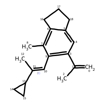 C=C(C)c1cc2c(c(C)c1/C=C(\C)C1CC1)CCC2